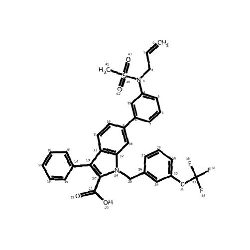 C=CCN(c1cccc(-c2ccc3c(-c4ccccc4)c(C(=O)O)n(Cc4cccc(OC(F)(F)F)c4)c3c2)c1)S(C)(=O)=O